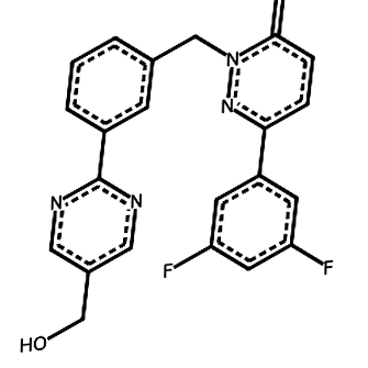 O=c1ccc(-c2cc(F)cc(F)c2)nn1Cc1cccc(-c2ncc(CO)cn2)c1